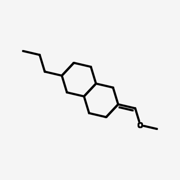 CCCC1CCC2CC(=COC)CCC2C1